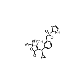 CCCC1(CCC)OC(=O)C(C(c2cccc(CS(=O)(=O)c3ncc[nH]3)c2)C2CC2)=C1O